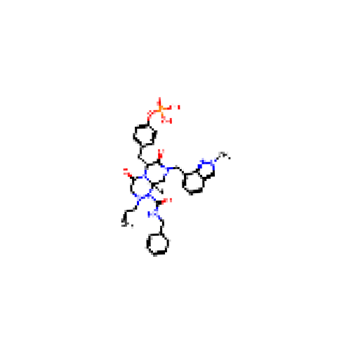 C=CCN1CC(=O)N2[C@@H](Cc3ccc(OP(=O)(O)O)cc3)C(=O)N(Cc3cccc4cn(C)nc34)C[C@@H]2N1C(=O)NCC1C=CC=CC1